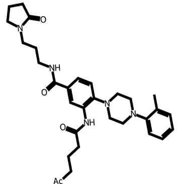 CC(=O)CCCC(=O)Nc1cc(C(=O)NCCCN2CCCC2=O)ccc1N1CCN(c2ccccc2C)CC1